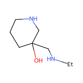 CCNCC1(O)CCCNC1